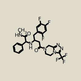 CNC(=O)C(NC(CC(=O)N1CCn2c(nnc2C(F)(F)F)C1)Cc1cc(F)c(F)cc1F)c1ccccc1